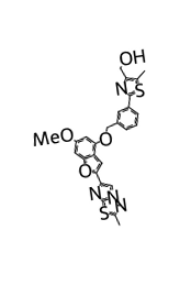 COc1cc(OCc2cccc(-c3nc(CO)c(C)s3)c2)c2cc(-c3cn4nc(C)sc4n3)oc2c1